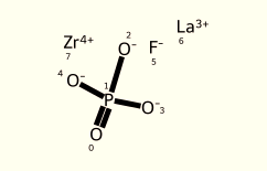 O=P([O-])([O-])[O-].[F-].[La+3].[Zr+4]